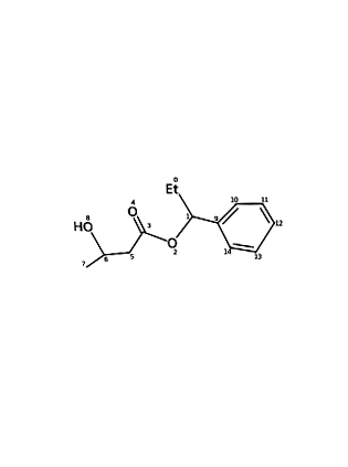 CCC(OC(=O)CC(C)O)c1ccccc1